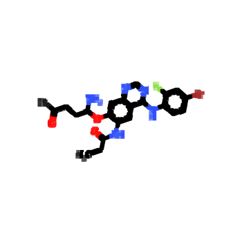 C=CC(=O)Nc1cc2c(Nc3ccc(Br)cc3F)ncnc2cc1OC(N)CCC(=O)CC